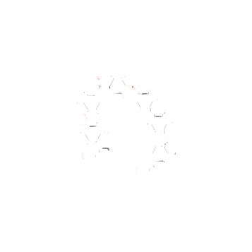 C=C(C)c1ccc(Oc2ccc(C(=O)c3ccc(Oc4ccc(-c5ccc(Oc6ccc(C)cc6)cc5)cc4)cc3)cc2)cc1